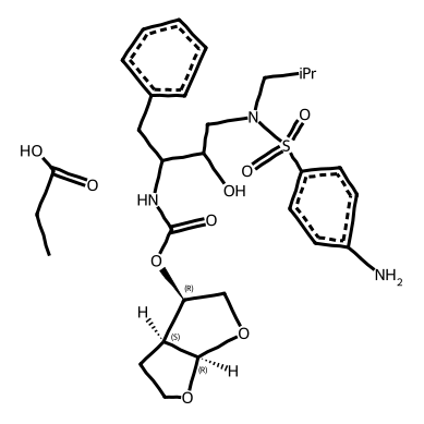 CC(C)CN(CC(O)C(Cc1ccccc1)NC(=O)O[C@H]1CO[C@H]2OCC[C@H]21)S(=O)(=O)c1ccc(N)cc1.CCC(=O)O